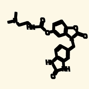 CN(C)CCNC(=O)Oc1ccc2oc(=O)n(Cc3ccc4[nH]c(=O)[nH]c4c3)c2c1